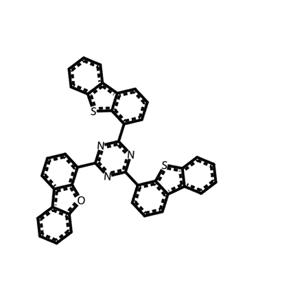 c1ccc2c(c1)oc1c(-c3nc(-c4cccc5c4sc4ccccc45)nc(-c4cccc5c4sc4ccccc45)n3)cccc12